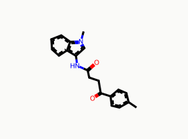 Cc1ccc(C(=O)CCC(=O)Nc2cn(C)c3ccccc23)cc1